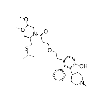 COC(CN(C(=O)CCOCCc1ccc(O)c(C2(c3ccccc3)CCN(C)CC2)c1)[C@H](C)CSC(C)C)OC